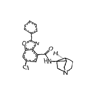 O=C(N[C@@H]1CN2CCC1CC2)c1cc(Cl)cc2oc(-c3ccccc3)nc12